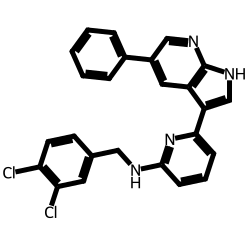 Clc1ccc(CNc2cccc(-c3c[nH]c4ncc(-c5ccccc5)cc34)n2)cc1Cl